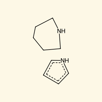 C1CCNCC1.c1cc[nH]c1